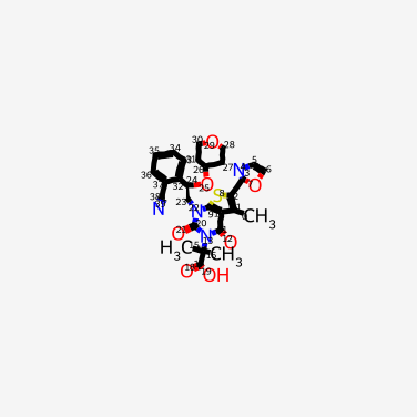 Cc1c(-c2ncco2)sc2c1c(=O)n(C(C)(C)C(=O)O)c(=O)n2C[C@H](OC1CCOCC1)c1ccccc1C#N